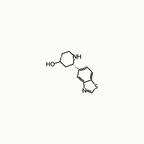 OC1CCN[C@H](c2ccc3scnc3c2)C1